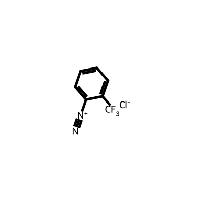 N#[N+]c1ccccc1C(F)(F)F.[Cl-]